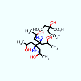 CC(O)CC(N)(CC(C)O)C(N)(CC(C)O)CC(C)O.O=C(O)CC(O)(CC(=O)O)C(=O)O